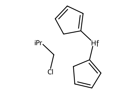 C1=CC[C]([Hf][C]2=CC=CC2)=C1.CC(C)CCl